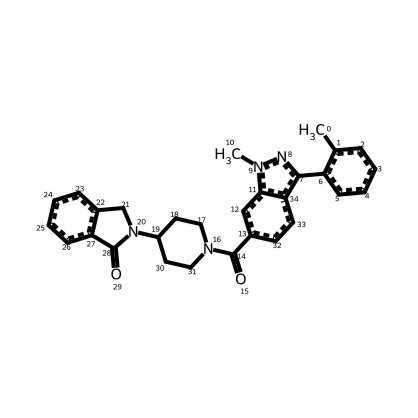 Cc1ccccc1-c1nn(C)c2cc(C(=O)N3CCC(N4Cc5ccccc5C4=O)CC3)ccc12